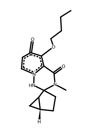 CCCCOc1c2n(ccc1=O)NC1(CC[C@@H]3CC31)N(C)C2=O